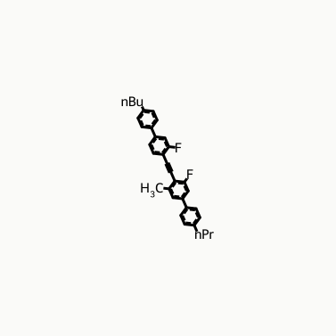 CCCCc1ccc(-c2ccc(C#Cc3c(C)cc(-c4ccc(CCC)cc4)cc3F)c(F)c2)cc1